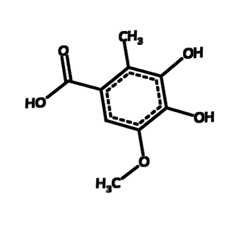 COc1cc(C(=O)O)c(C)c(O)c1O